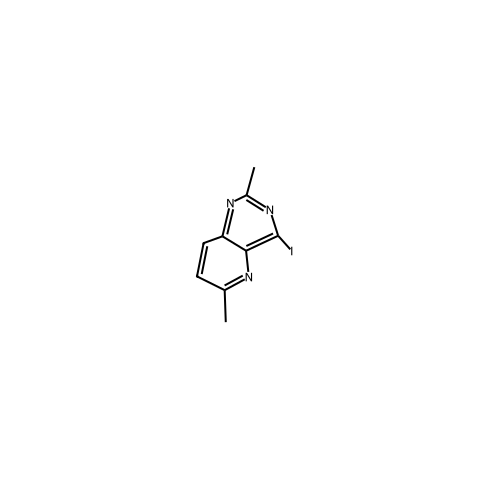 Cc1ccc2nc(C)nc(I)c2n1